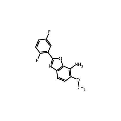 COc1ccc2nc(-c3cc(F)ccc3F)oc2c1N